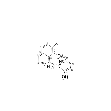 CC(=O)Oc1c(C)ccc2ccccc12.Nc1ncccc1O